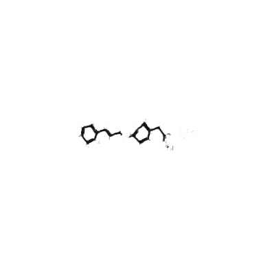 CCOC(=O)[C@H](Cc1ccc(OCC=Cc2ccccc2)cc1)OCC